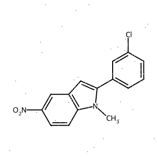 Cn1c(-c2cccc(Cl)c2)cc2cc([N+](=O)[O-])ccc21